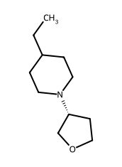 CCC1CCN([C@@H]2CCOC2)CC1